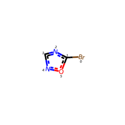 Brc1n[c]no1